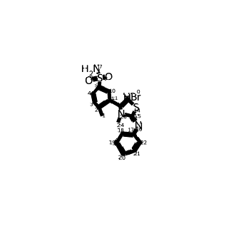 Br.Cc1ccc(S(N)(=O)=O)cc1-c1cs/c(=N/c2ccccc2)n1C